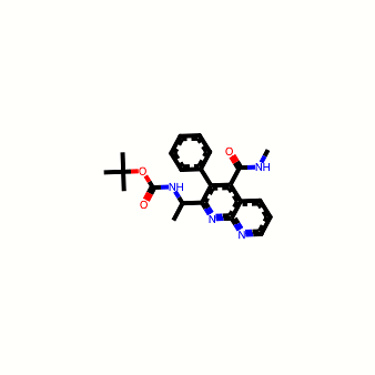 CNC(=O)c1c(-c2ccccc2)c(C(C)NC(=O)OC(C)(C)C)nc2ncccc12